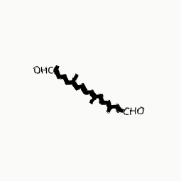 C\C(C=O)=C/C=C/C(C)=C/C=C/C=C(C)/C=C/C=C(C)/C=C/C=O